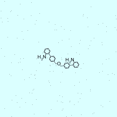 Nc1ccccc1-c1ccc(COCc2ccc(-c3ccccc3N)cc2)cc1